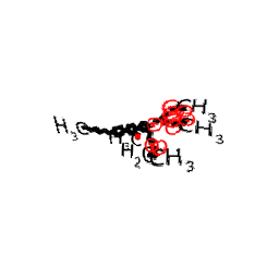 C=C(C)C(=O)OCCCc1cc(-c2ccc(C3CCC(CCCCCCC)CC3)cc2CC)ccc1OCC(COC(=O)C(C)=O)COC(=O)C(C)=O